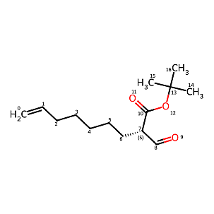 C=CCCCCC[C@@H](C=O)C(=O)OC(C)(C)C